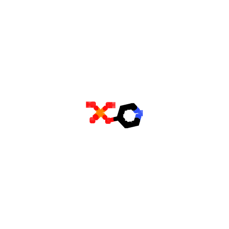 O=P(O)(O)Oc1ccncc1